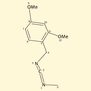 CN=C=NCc1ccc(OC)cc1OC